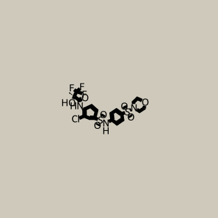 C[C@@](O)(C(=O)Nc1ccc(S(=O)(=O)Nc2ccc(S(=O)(=O)N3CCOCC3)cc2)cc1Cl)C(F)(F)F